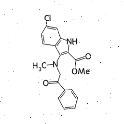 COC(=O)c1[nH]c2cc(Cl)ccc2c1N(C)CC(=O)c1ccccc1